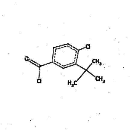 CC(C)(C)c1cc(C(=O)Cl)ccc1Cl